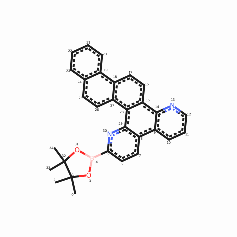 CC1(C)OB(c2ccc3c4cccnc4c4ccc5c6ccccc6ccc5c4c3n2)OC1(C)C